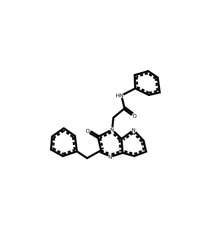 O=C(Cn1c(=O)c(Cc2ccccc2)nc2cccnc21)Nc1ccccc1